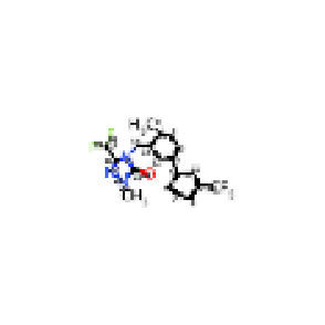 Cc1ccc(-c2cccc(C(F)(F)F)c2)cc1Cn1c(C(F)F)nn(C)c1=O